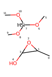 CC1OC1O.CO[SiH](OC)OC